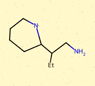 CCC(CN)C1CCCC[N]1